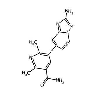 Cc1nc(C)c(-c2ccn3nc(N)nc3c2)cc1C(N)=O